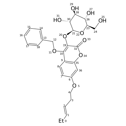 CC/C=C/CCOc1ccc2c(OCc3ccccc3)c(O[C@@H]3O[C@H](CO)[C@@H](O)[C@H](O)[C@H]3O)c(=O)oc2c1